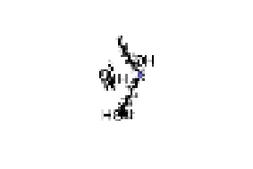 CCC(=O)N[N+](C)(C)C.CCCCCC[C@@H](O)C/C=C\CCCCCCCC(=O)O